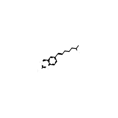 CC(O)CCCC=Cc1ccc2nc(O)ncc2c1